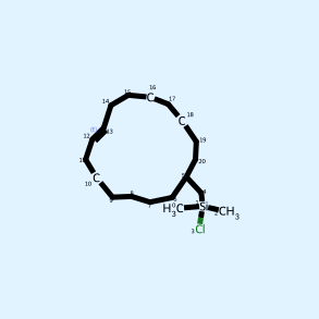 C[Si](C)(Cl)CC1CCCCCC/C=C/CCCCCCC1